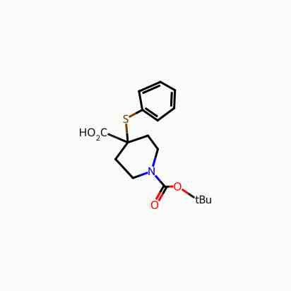 CC(C)(C)OC(=O)N1CCC(Sc2ccccc2)(C(=O)O)CC1